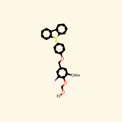 CCOCOc1c(I)cc(COc2ccc([SH]3c4ccccc4-c4ccccc43)cc2)cc1OC